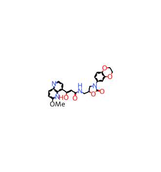 COc1ccc2nccc(C(O)=CC(=O)NCC3CN(c4ccc5c(c4)OCCO5)C(=O)O3)c2n1